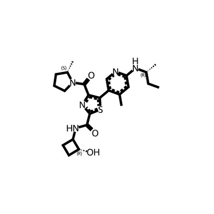 CC[C@@H](C)Nc1cc(C)c(-c2sc(C(=O)NC3CC[C@H]3O)nc2C(=O)N2CCC[C@@H]2C)cn1